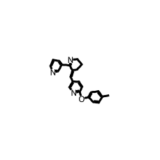 Cc1ccc(Oc2ccc(C=C3CCCN=C3c3cccnc3)cn2)cc1